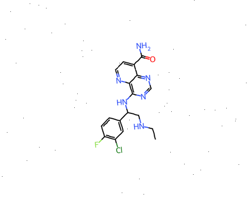 CCNCC(Nc1ncnc2c(C(N)=O)ccnc12)c1ccc(F)c(Cl)c1